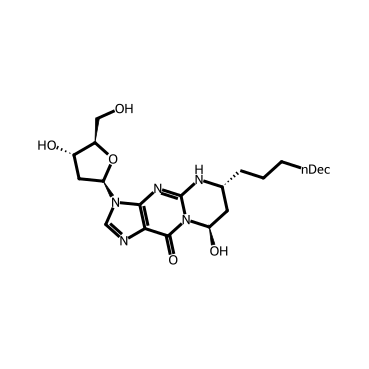 CCCCCCCCCCCCC[C@@H]1C[C@@H](O)n2c(nc3c(ncn3[C@H]3C[C@H](O)[C@@H](CO)O3)c2=O)N1